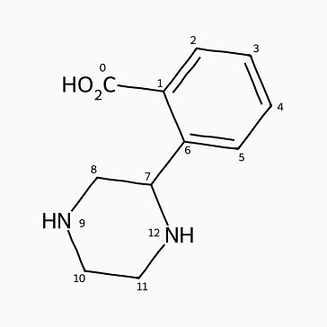 O=C(O)c1ccccc1C1CNCCN1